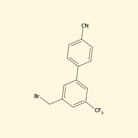 N#Cc1ccc(-c2cc(CBr)cc(C(F)(F)F)c2)cc1